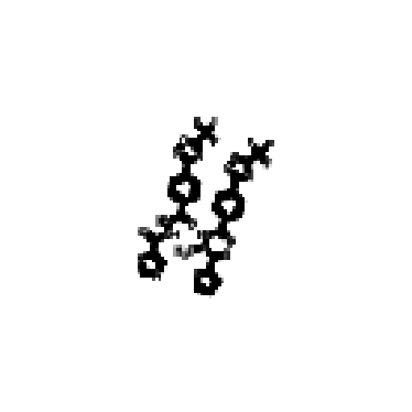 CN(NC(=O)c1ccc(-c2noc(C(F)(F)F)n2)cc1)C(=O)c1cccs1.O=C(NNC(=O)c1cncs1)c1ccc(-c2noc(C(F)(F)F)n2)cc1